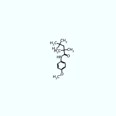 COc1ccc(NC(=O)C(C)(C)CC(C)(C)C)cc1